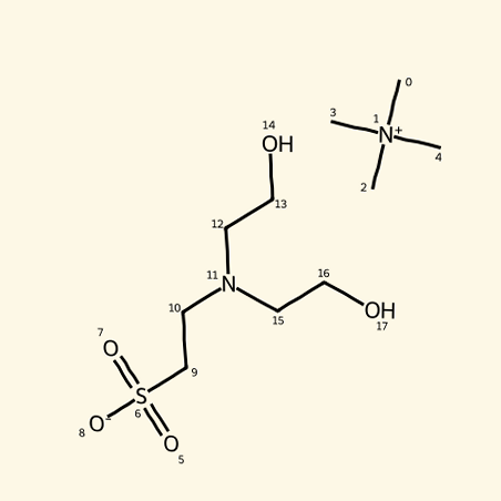 C[N+](C)(C)C.O=S(=O)([O-])CCN(CCO)CCO